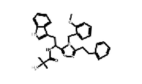 COc1ccccc1Cn1c(CCc2ccccc2)nnc1C(Cc1c[nH]c2ccccc12)NC(=O)C(C)(C)N